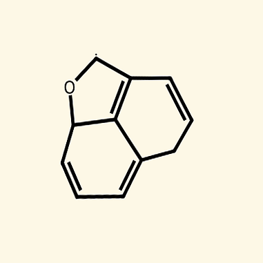 [CH]1OC2C=CC=C3CC=CC1=C32